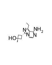 CCc1nc([C@H]2C[C@@](C)(O)C2)n2ccnc(N)c12